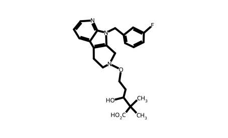 CC(C)(C(=O)O)C(O)CCON1CCc2c(n(Cc3cccc(F)c3)c3ncccc23)C1